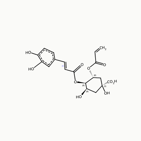 C=CC(=O)O[C@@H]1C[C@](O)(C(=O)O)C[C@@H](O)[C@H]1OC(=O)/C=C/c1ccc(O)c(O)c1